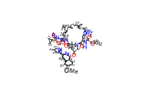 COc1ccc2c(O[C@@H]3C[C@H]4C(=O)N[C@]5(C(=O)NS(=O)(=O)C6CC6)C[C@H]5CCCCCNC[C@H](NC(=O)OC(C)(C)C)C(=O)N4C3)nc(-n3cccn3)cc2c1